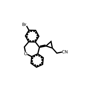 N#CCC1CC1=C1c2ccc(Br)cc2COc2ccccc21